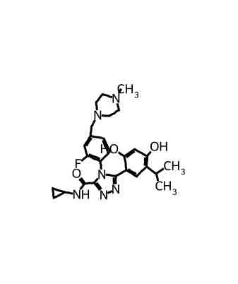 CC(C)c1cc(-c2nnc(C(=O)NC3CC3)n2-c2ccc(CN3CCN(C)CC3)cc2F)c(O)cc1O